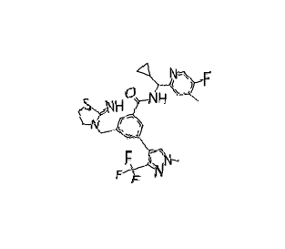 Cc1cc(C(NC(=O)c2cc(CN3CCSC3=N)cc(-c3cn(C)nc3C(F)(F)F)c2)C2CC2)ncc1F